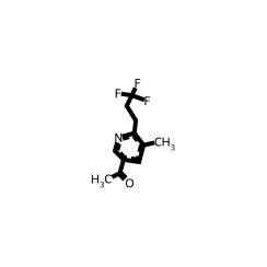 CC(=O)c1cnc(CCC(F)(F)F)c(C)c1